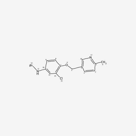 Cc1ccc(COc2ccc(NC(C)C)cc2Cl)cn1